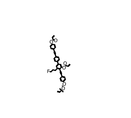 C=CC(=O)Oc1ccc(C#Cc2ccc(-c3cc(CCCF)c(C#Cc4ccc(OCOC(C)(C)C=C)cc4)c(OC(=O)C=C)c3)cc2)cc1